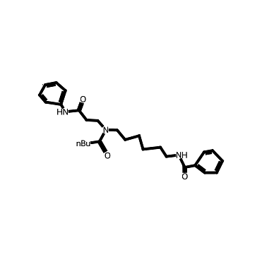 CCCCC(=O)N(CCCCCCNC(=O)c1ccccc1)CCC(=O)Nc1cc[c]cc1